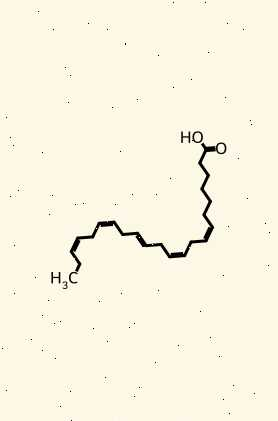 CC/C=C\C/C=C\C/C=C/C/C=C\C/C=C\CCCCCC(=O)O